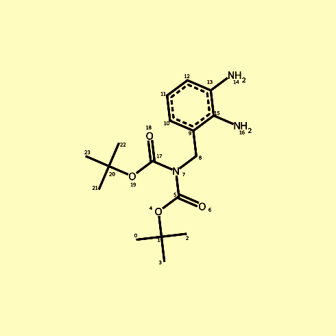 CC(C)(C)OC(=O)N(Cc1cccc(N)c1N)C(=O)OC(C)(C)C